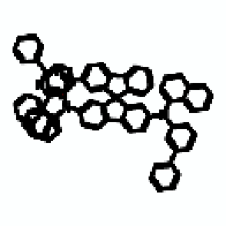 c1ccc(-c2cccc(N(c3ccc4c(c3)C3(c5ccccc5-c5ccc(-c6nc(-c7ccccc7)nc(-c7ccccc7)n6)cc53)c3cc(N(c5ccccc5)c5cccc6ccccc56)ccc3-4)c3cccc4ccccc34)c2)cc1